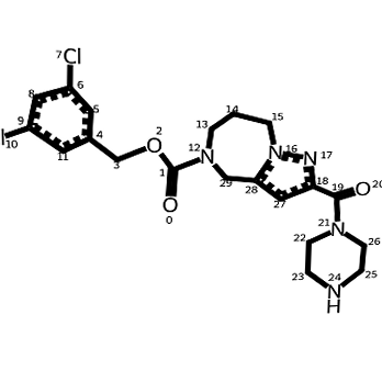 O=C(OCc1cc(Cl)cc(Cl)c1)N1CCCn2nc(C(=O)N3CCNCC3)cc2C1